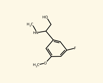 CNC(CO)c1cc(F)cc(OC)c1